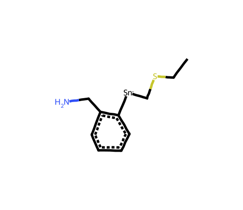 CCS[CH2][Sn][c]1ccccc1CN